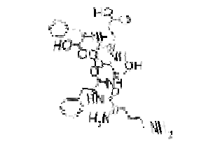 NCCCC[C@H](N)C(=O)N[C@@H](Cc1ccccc1)C(=O)N[C@@H](CO)C(=O)N[C@@H](CCC(=O)O)C(=O)N[C@@H](Cc1ccccc1)C(=O)O